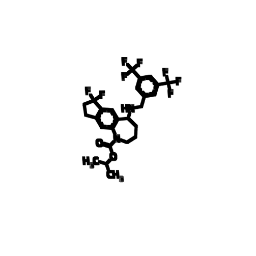 CC(C)OC(=O)N1CCCC(NCc2cc(C(F)(F)F)cc(C(F)(F)F)c2)c2cc3c(cc21)CCC3(F)F